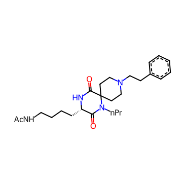 CCCN1C(=O)[C@H](CCCCNC(C)=O)NC(=O)C12CCN(CCc1ccccc1)CC2